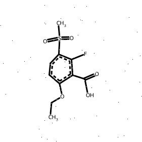 CCOc1ccc(S(C)(=O)=O)c(F)c1C(=O)O